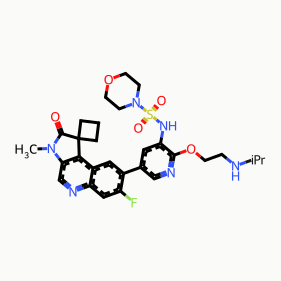 CC(C)NCCOc1ncc(-c2cc3c4c(cnc3cc2F)N(C)C(=O)C42CCC2)cc1NS(=O)(=O)N1CCOCC1